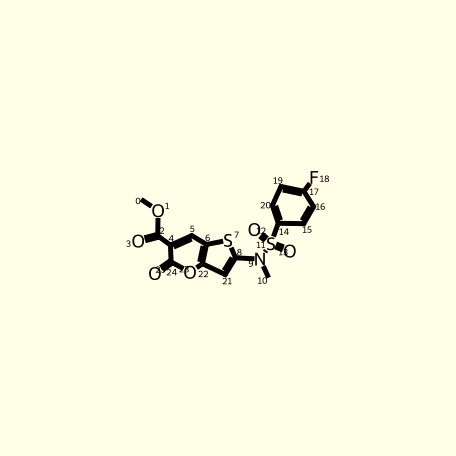 COC(=O)c1cc2sc(N(C)S(=O)(=O)c3ccc(F)cc3)cc2oc1=O